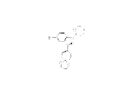 Brc1ccc2c(c1)c(C1=CCC3(CC1)OCCO3)nn2C1CCCCO1